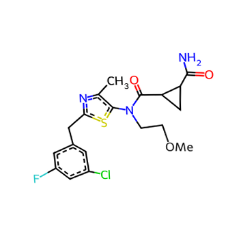 COCCN(C(=O)C1CC1C(N)=O)c1sc(Cc2cc(F)cc(Cl)c2)nc1C